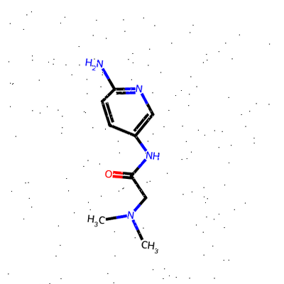 CN(C)CC(=O)Nc1ccc(N)nc1